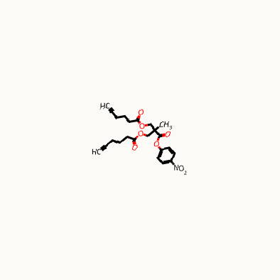 C#CCCCC(=O)OCC(C)(COC(=O)CCCC#C)C(=O)Oc1ccc([N+](=O)[O-])cc1